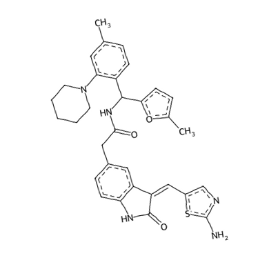 Cc1ccc(C(NC(=O)Cc2ccc3c(c2)C(=Cc2cnc(N)s2)C(=O)N3)c2ccc(C)o2)c(N2CCCCC2)c1